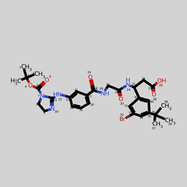 CC(C)(C)OC(=O)N1CCN=C1Nc1cccc(C(=O)NCC(=O)NC(CC(=O)O)c2cc(Br)cc(C(C)(C)C)c2)c1